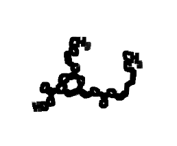 CO/C=C\C/C=C\OC(=O)OCC(COC(=O)OO)OC(=O)O/C=C\OC